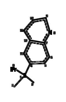 CC(C)S(C)(C)c1ccc2ncccc2c1